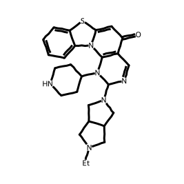 CCN1CC2CN(C3N=Cc4c(n5c(cc4=O)sc4ccccc45)N3C3CCNCC3)CC2C1